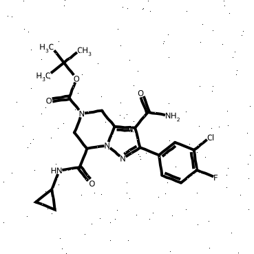 CC(C)(C)OC(=O)N1Cc2c(C(N)=O)c(-c3ccc(F)c(Cl)c3)nn2C(C(=O)NC2CC2)C1